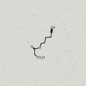 C#CCCCCOC(=O)CC(=O)OCC